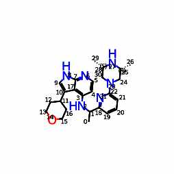 CC(Nc1ccnc2[nH]cc(C3CCOCC3)c12)c1cccc(N2C[C@@H](C)N[C@@H](C)C2)n1